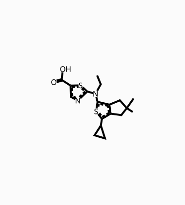 CCN(c1ncc(C(=O)O)s1)c1sc(C2CC2)c2c1CC(C)(C)C2